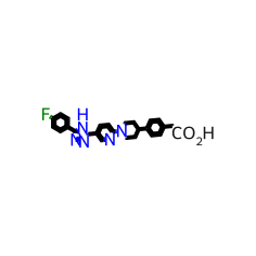 O=C(O)Cc1ccc(C2CCN(c3ccc(-c4nnc(-c5ccc(F)cc5)[nH]4)cn3)CC2)cc1